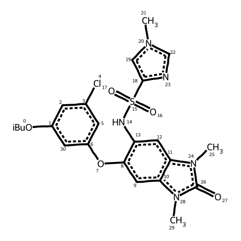 CC(C)COc1cc(Cl)cc(Oc2cc3c(cc2NS(=O)(=O)c2cn(C)cn2)n(C)c(=O)n3C)c1